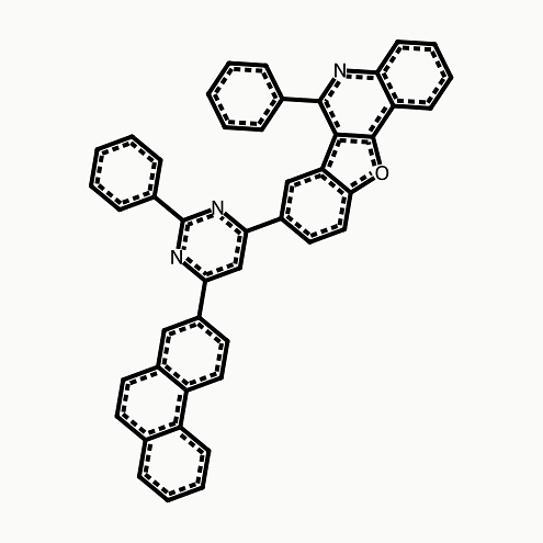 c1ccc(-c2nc(-c3ccc4c(ccc5ccccc54)c3)cc(-c3ccc4oc5c6ccccc6nc(-c6ccccc6)c5c4c3)n2)cc1